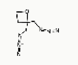 [N-]=[N+]=NCC1(CN=[N+]=[N-])CCO1